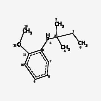 CCC(C)(C)Pc1ccccc1OC